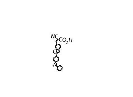 CN(c1ccccc1)c1ccc(-c2cc3ccc(/C=C(/C#N)C(=O)O)cc3o2)cc1